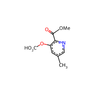 COC(=O)c1ncc(C)cc1OC(=O)O